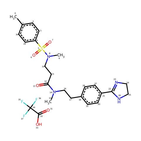 Cc1ccc(S(=O)(=O)N(C)CCC(=O)N(C)CCc2ccc(C3=NCCN3)cc2)cc1.O=C(O)C(F)(F)F